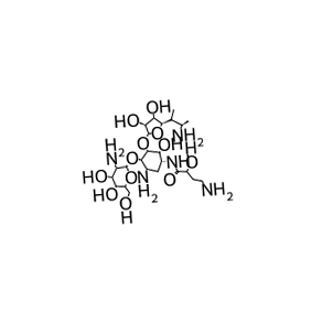 CC([C@H]1O[C@@H](OC2[C@H](O[C@H]3OC(CO)[C@@H](O)C(O)C3N)C(N)C[C@@H](NC(=O)[C@@H](O)CCN)[C@H]2O)[C@@H](O)C1O)[C@@H](C)N